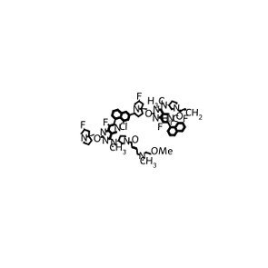 C=CC(=O)N1CC[C@@H](N(C)c2nc(OC[C@@]34CCC(c5cc(Cl)c6c(-c7ncc8c(N(C)[C@@H]9CCN(C(=O)/C=C/CN(C)CCOC)C9)nc(OC[C@@]9%10CCCN9C[C@H](F)C%10)nc8c7F)cccc6c5)N3C[C@H](F)C4)nc3c(F)c(-c4cccc5ccc(F)c(C)c45)ncc23)C1